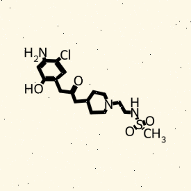 CS(=O)(=O)NCCN1CCC(CC(=O)Cc2cc(Cl)c(N)cc2O)CC1